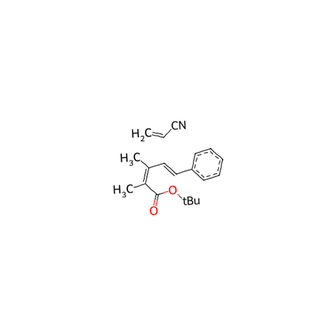 C=CC#N.CC(C=Cc1ccccc1)=C(C)C(=O)OC(C)(C)C